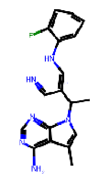 Cc1cn(C(C)/C(C=N)=C/Nc2ccccc2F)c2ncnc(N)c12